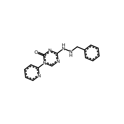 O=c1nc(NNCc2ccccc2)ncn1-c1ccccn1